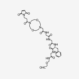 O=CCOCNC(=O)CNC(=O)[C@H](Cc1ccccc1)NC(=O)CNC(=O)CNC(=O)CN1CCOCCN(C(=O)CCN2C(=O)C=CC2=O)CCOCC1